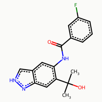 CC(C)(O)c1cc2n[nH]cc2cc1NC(=O)c1cccc(F)c1